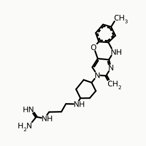 C=C1N=C2Nc3cc(C)ccc3OC2=CN1C1CCC(NCCCNC(=N)N)CC1